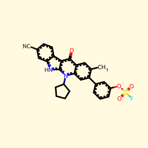 Cc1cc2c(=O)c3c4ccc(C#N)cc4[nH]c3n(C3CCCC3)c2cc1-c1cccc(OS(=O)(=O)F)c1